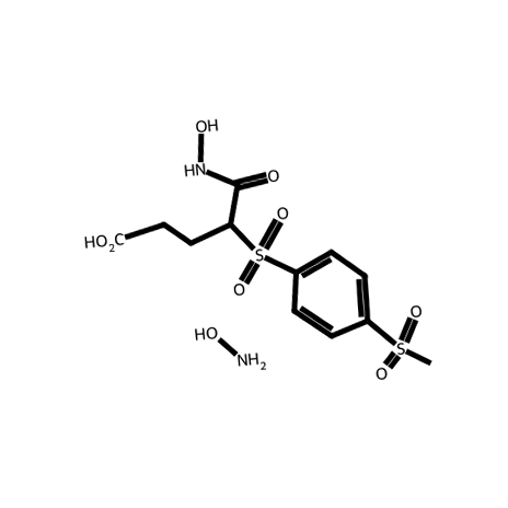 CS(=O)(=O)c1ccc(S(=O)(=O)C(CCC(=O)O)C(=O)NO)cc1.NO